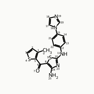 Cc1ccsc1C(=O)c1sc(Nc2ccc(-n3ccnc3)cc2)nc1N